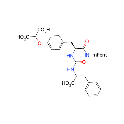 CCCCCNC(=O)[C@H](Cc1ccc(OC(C(=O)O)C(=O)O)cc1)NC(=O)NC(Cc1ccccc1)C(=O)O